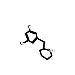 Clc1cc(Cl)cc([CH]C2CCCCN2)c1